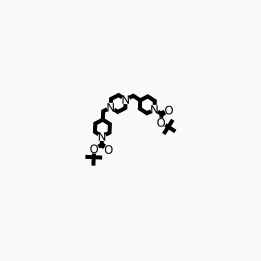 CC(C)(C)OC(=O)N1CCC(CN2CCN(CC3CCN(C(=O)OC(C)(C)C)CC3)CC2)CC1